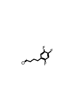 O=[C]CCCc1cc(F)c(F)cc1F